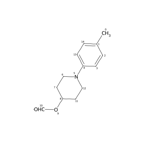 Cc1ccc(N2CCC(O[C]=O)CC2)cc1